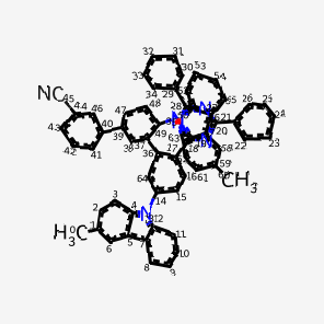 Cc1ccc2c(c1)c1ccccc1n2-c1ccc(-c2nc(-c3ccccc3)nc(-c3ccccc3)n2)c(-c2cc(-c3cccc(C#N)c3)ccc2-n2c3ccccc3c3cc(C)ccc32)c1